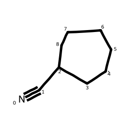 N#CC1C[CH]CCCC1